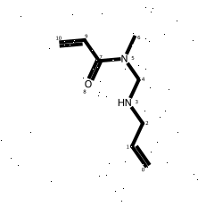 C=CCNCN(C)C(=O)C=C